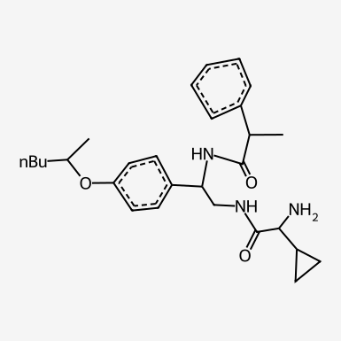 CCCCC(C)Oc1ccc(C(CNC(=O)C(N)C2CC2)NC(=O)C(C)c2ccccc2)cc1